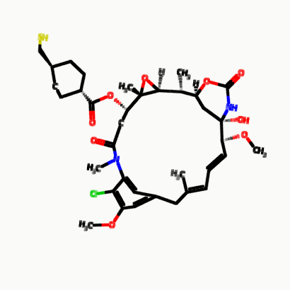 COc1cc2cc(c1Cl)N(C)C(=O)C[C@H](OC(=O)[C@H]1CC[C@H](CS)CC1)[C@]1(C)O[C@H]1[C@H](C)[C@@H]1C[C@@](O)(NC(=O)O1)[C@H](OC)/C=C/C=C(\C)C2